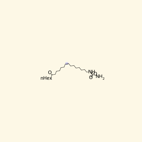 CCCCCCC(=O)CCCCC/C=C\CCCCCCCNS(=O)ON